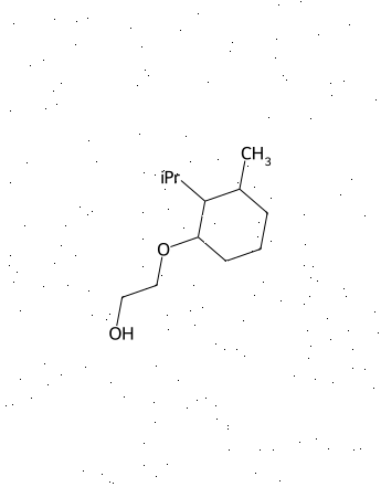 CC(C)C1C(C)CCCC1OCCO